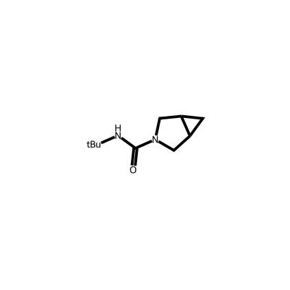 CC(C)(C)NC(=O)N1CC2CC2C1